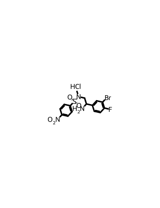 CN(CC(N)c1ccc(F)c(Br)c1)S(=O)(=O)c1ccc([N+](=O)[O-])cc1.Cl